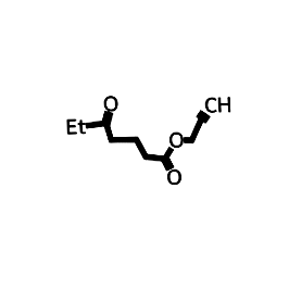 C#CCOC(=O)CCCC(=O)CC